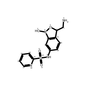 NCC1OB(O)c2cc(NS(=O)(=O)c3ccccn3)ccc21